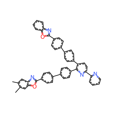 Cc1cc2nc(-c3ccc(-c4ccc(-c5nc(-c6ccccn6)ccc5-c5ccc(-c6ccc(-c7nc8ccccc8o7)cc6)cc5)cc4)cc3)oc2cc1C